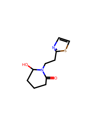 O=C1CCCC(O)N1CCc1nccs1